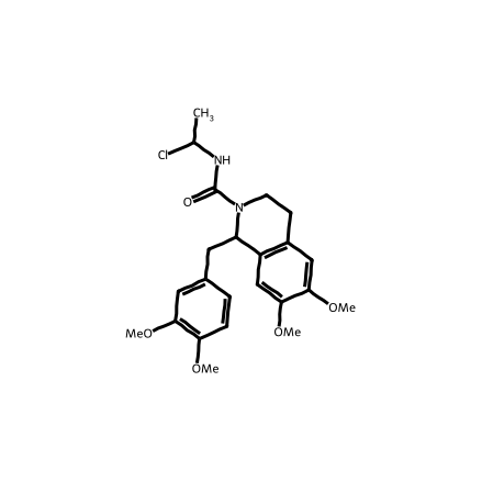 COc1ccc(CC2c3cc(OC)c(OC)cc3CCN2C(=O)NC(C)Cl)cc1OC